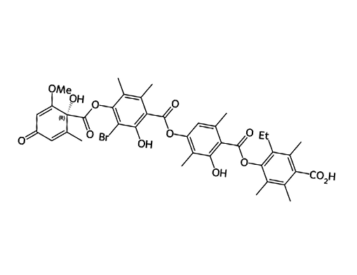 CCc1c(C)c(C(=O)O)c(C)c(C)c1OC(=O)c1c(C)cc(OC(=O)c2c(C)c(C)c(OC(=O)[C@@]3(O)C(C)=CC(=O)C=C3OC)c(Br)c2O)c(C)c1O